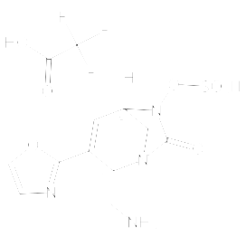 NC[C@@H]1C(c2ncco2)=C[C@@H]2CN1C(=O)N2OS(=O)(=O)O.O=C(O)C(F)(F)F